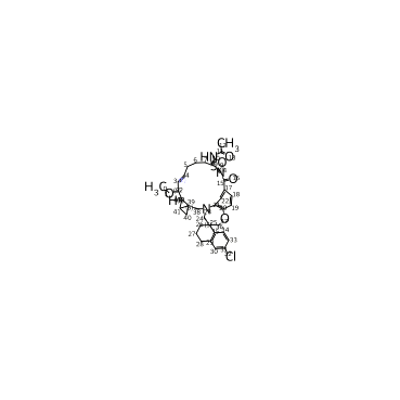 CO[C@H]1/C=C/CCC[S@@](=O)(NC(C)=O)=NC(=O)c2ccc3c(c2)N(C[C@@]2(CCCc4cc(Cl)ccc42)CO3)C[C@@]23CC2[C@@H]13